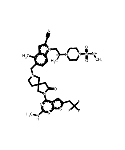 CNc1nc(N2CC3(CCN(Cc4ccc5c(cc(C#N)n5C[C@H](C)N5CCN(S(=O)(=O)NC)CC5)c4C)C3)CC2=O)c2cc(CC(F)(F)F)sc2n1